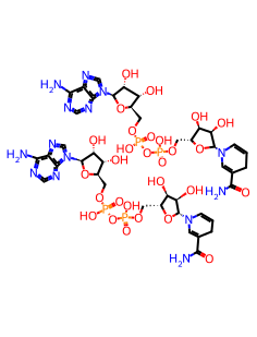 NC(=O)C1=CN([C@@H]2O[C@H](COP(=O)(O)OP(=O)(O)OC[C@H]3O[C@@H](n4cnc5c(N)ncnc54)[C@H](O)[C@@H]3O)[C@@H](O)[C@H]2O)C=CC1.NC(=O)C1=CN([C@@H]2O[C@H](COP(=O)(O)OP(=O)(O)OC[C@H]3O[C@@H](n4cnc5c(N)ncnc54)[C@H](O)[C@@H]3O)[C@@H](O)[C@H]2O)C=CC1